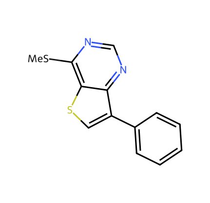 CSc1ncnc2c(-c3ccccc3)csc12